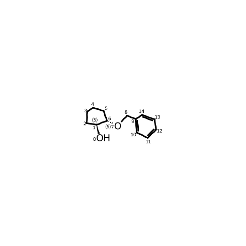 O[C@H]1CCCC[C@@H]1OCc1ccccc1